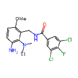 CCN(C)c1c(N)ccc(OC)c1CNC(=O)c1cc(Cl)c(F)c(Cl)c1